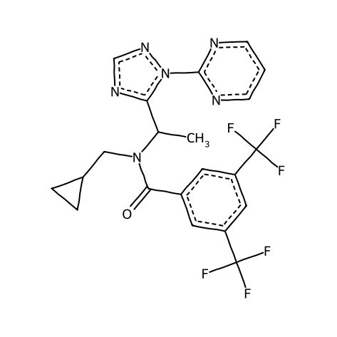 CC(c1ncnn1-c1ncccn1)N(CC1CC1)C(=O)c1cc(C(F)(F)F)cc(C(F)(F)F)c1